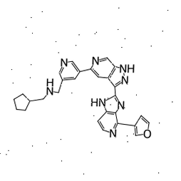 c1cc2[nH]c(-c3n[nH]c4cnc(-c5cncc(CNCC6CCCC6)c5)cc34)nc2c(-c2ccoc2)n1